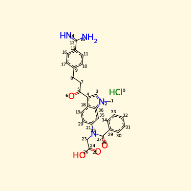 Cl.Cn1cc(C(=O)CCc2ccc(C(=N)N)cc2)c2ccc(N(CC(=O)O)C(=O)c3ccccc3)cc21